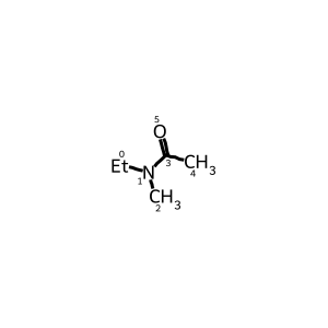 [CH2]CN(C)C(C)=O